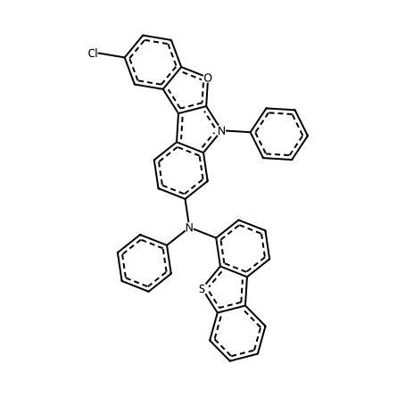 Clc1ccc2oc3c(c2c1)c1ccc(N(c2ccccc2)c2cccc4c2sc2ccccc24)cc1n3-c1ccccc1